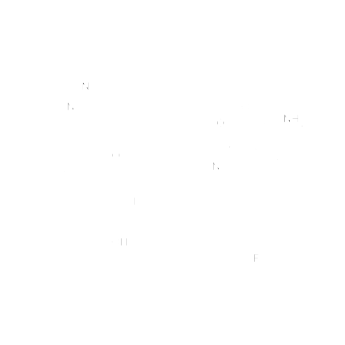 NC(=O)C1(C(=O)N(c2ccc(F)cc2)c2ccc(Oc3ccnn4ccc(-c5cccc(CO)c5)c34)c(F)c2)CC1